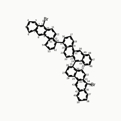 Brc1c2ccccc2cc2c1ccc1c(-c3cccc4c3ccc3c(-c5cccc6c5ccc5c(Br)c7ccccc7cc56)c5ccccc5cc34)cccc12